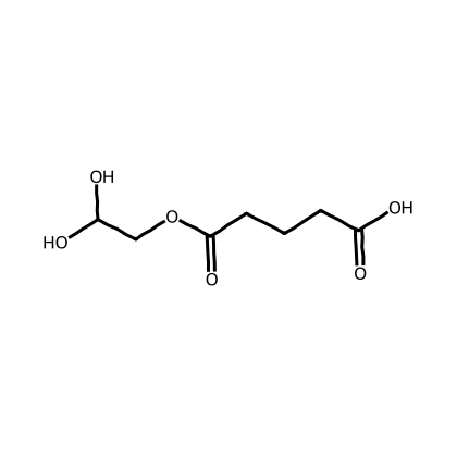 O=C(O)CCCC(=O)OCC(O)O